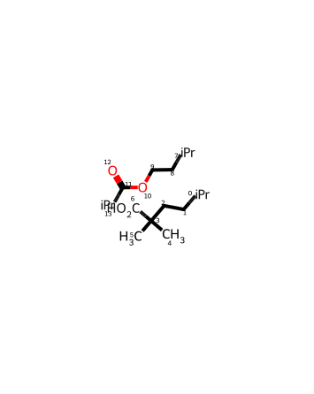 CC(C)CCC(C)(C)C(=O)O.CC(C)CCOC(=O)C(C)C